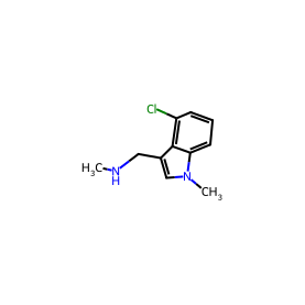 CNCc1cn(C)c2cccc(Cl)c12